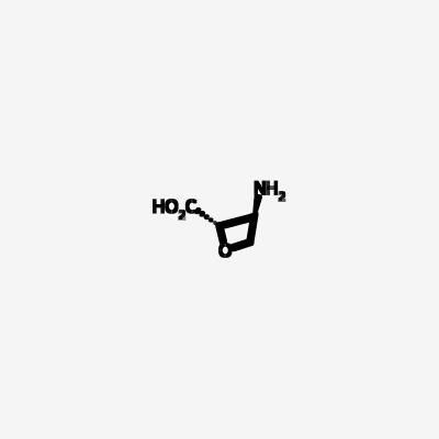 N[C@H]1CO[C@@H]1C(=O)O